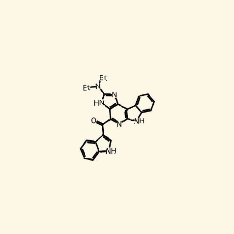 CCN(CC)c1nc2c([nH]1)c(C(=O)c1c[nH]c3ccccc13)nc1[nH]c3ccccc3c12